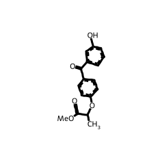 COC(=O)C(C)Oc1ccc(C(=O)c2cccc(O)c2)cc1